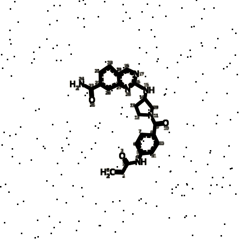 C=CC(=O)Nc1ccc(C(=O)N2CCC(Nc3ncc4ccc(C(N)=O)cc4n3)C2)cc1